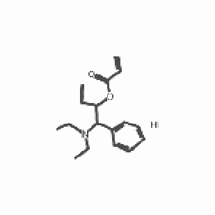 C=CC(=O)OC(CC)C(c1ccccc1)N(CC)CC.I